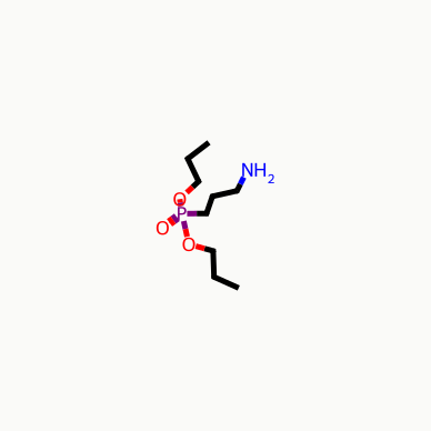 CCCOP(=O)(CCCN)OCCC